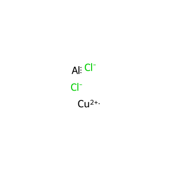 [Al].[Cl-].[Cl-].[Cu+2]